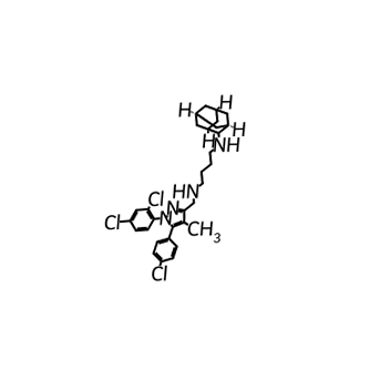 Cc1c(CNCCCCNC2[C@H]3C[C@@H]4C[C@@H](C[C@H]2C4)C3)nn(-c2ccc(Cl)cc2Cl)c1-c1ccc(Cl)cc1